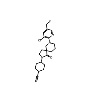 N#CC1CCC(N2CCC3(CCCN(c4ncc(CF)cc4Cl)C3)C2=O)CC1